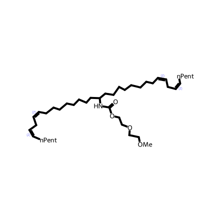 CCCCC/C=C\C/C=C\CCCCCCCCC(CCCCCCCC/C=C\C/C=C\CCCCC)NC(=O)OCCOCCOC